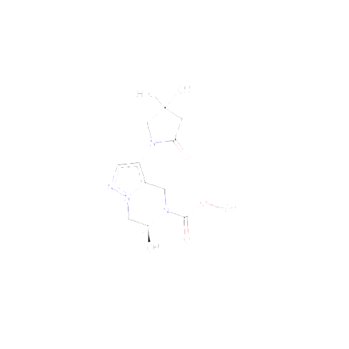 C[C@H]1Cn2ncc(N3CC(C)(C)CC3=O)c2CN1C(=O)OC(C)(C)C